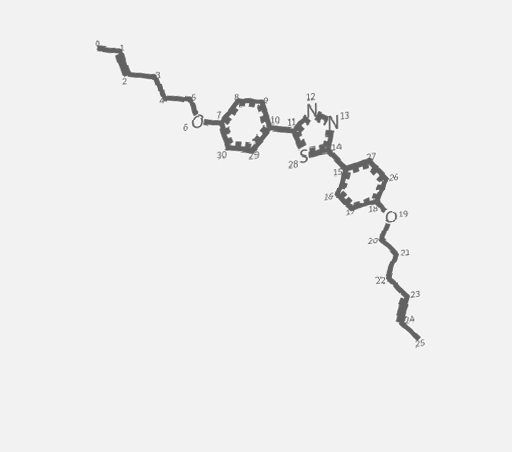 CC=CCCCOc1ccc(-c2nnc(-c3ccc(OCCCC=CC)cc3)s2)cc1